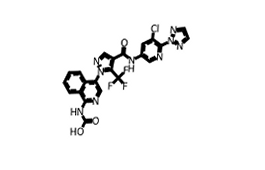 O=C(O)Nc1ncc(-n2ncc(C(=O)Nc3cnc(-n4nccn4)c(Cl)c3)c2C(F)(F)F)c2ccccc12